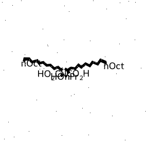 CCCCCCCC/C=C\CCCCCCCCC(C)(C(=O)O)[N+](O)(CCC)C(C)(CCCCCCCC/C=C\CCCCCCCC)C(=O)O